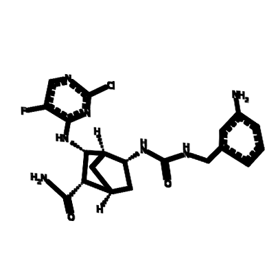 NC(=O)[C@H]1[C@H]2C[C@@H]([C@H]1Nc1nc(Cl)ncc1F)[C@H](NC(=O)NCc1cccc(N)c1)C2